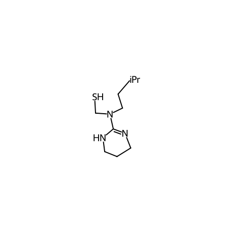 CC(C)CCN(CS)C1=NCCCN1